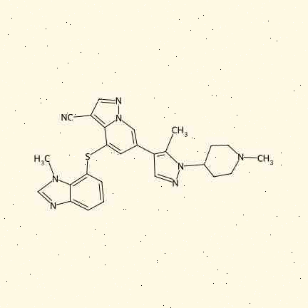 Cc1c(-c2cc(Sc3cccc4ncn(C)c34)c3c(C#N)cnn3c2)cnn1C1CCN(C)CC1